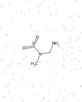 CN(CN)[SH](=O)=O